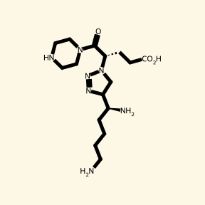 NCCCC[C@H](N)C1CN([C@@H](CCC(=O)O)C(=O)N2CCNCC2)N=N1